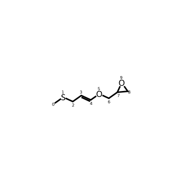 CSC/C=C/OCC1CO1